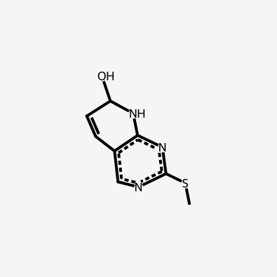 CSc1ncc2c(n1)NC(O)C=C2